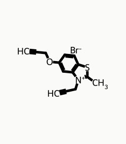 C#CCOc1ccc2sc(C)[n+](CC#C)c2c1.[Br-]